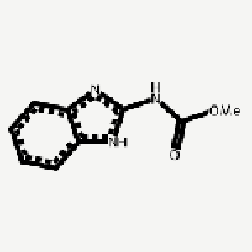 COC(=O)Nc1nc2ccccc2[nH]1